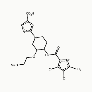 COCCOC1CN(c2ncc(C(=O)O)s2)CCC1NC(=O)c1[nH]c(C)c(Cl)c1Cl